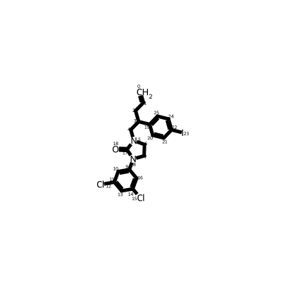 C=CCC(CN1CCN(c2cc(Cl)cc(Cl)c2)C1=O)c1ccc(I)cc1